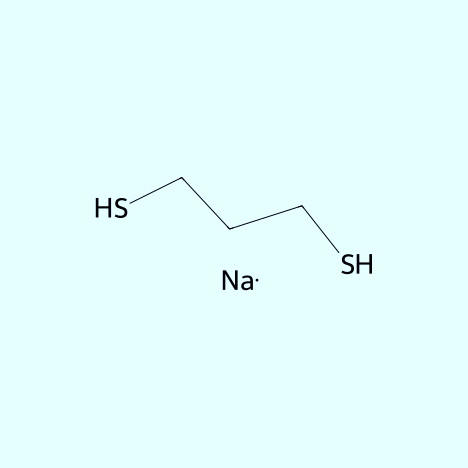 SCCCS.[Na]